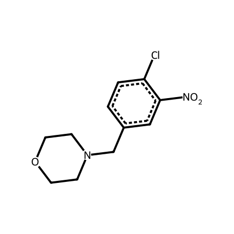 O=[N+]([O-])c1cc(CN2CCOCC2)ccc1Cl